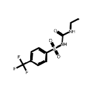 CCNC(=O)NS(=O)(=O)c1ccc(C(F)(F)F)cc1